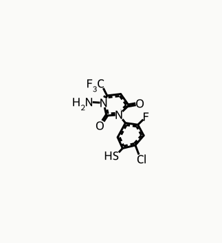 Nn1c(C(F)(F)F)cc(=O)n(-c2cc(S)c(Cl)cc2F)c1=O